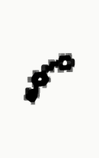 [c]1ccc(-c2ccc(OCCN3CCOCC3)cc2)s1